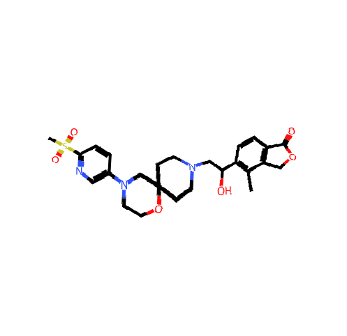 Cc1c(C(O)CN2CCC3(CC2)CN(c2ccc(S(C)(=O)=O)nc2)CCO3)ccc2c1COC2=O